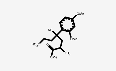 COC(=O)C(C)CC(C#N)(CCC(=O)O)c1ccc(OC)cc1OC